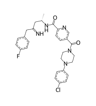 C[C@@H](CC(=N)Cc1ccc(F)cc1)NC(=O)c1ccc(C(=O)N2CCN(c3ccc(Cl)cc3)CC2)cn1